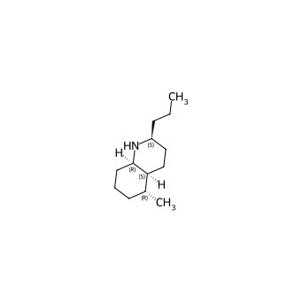 CCC[C@H]1CC[C@H]2[C@H](C)CCC[C@H]2N1